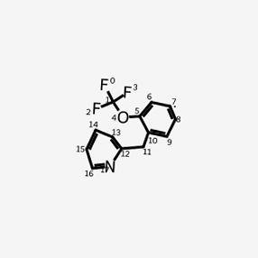 FC(F)(F)Oc1c[c]ccc1Cc1ccccn1